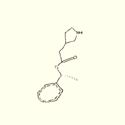 C[C@@H](OC(=O)CC1CCNC1)c1ccccc1